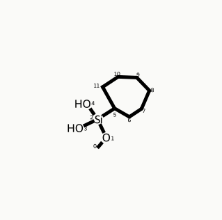 CO[Si](O)(O)C1CCCCCC1